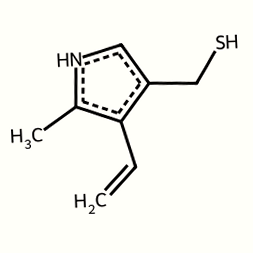 C=Cc1c(CS)c[nH]c1C